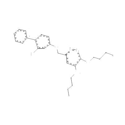 CCCCOc1cc(COc2ccc(-c3ccccc3)c(F)c2)nnc1OCCCC